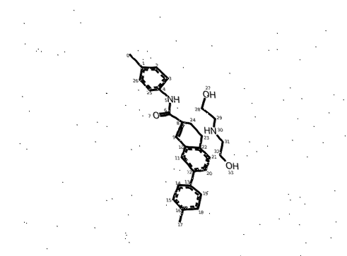 Cc1ccc(NC(=O)C2=Cc3cc(-c4ccc(C)cc4)ccc3CC2)cc1.OCCNCCO